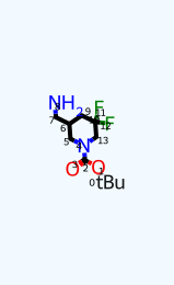 CC(C)(C)OC(=O)N1CC(CN)CC(F)(F)C1